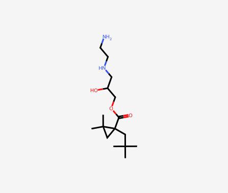 CC(C)(C)CC1(C(=O)OCC(O)CNCCN)CC1(C)C